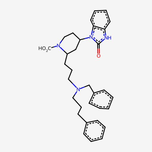 O=C(O)N1CCC(n2c(=O)[nH]c3ccccc32)CC1CCCN(CCCc1ccccc1)Cc1ccccc1